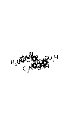 CN1CCN(CC(=O)N(C)c2ccc(NC(=C3C(=O)Nc4ccc(C(=O)O)cc43)c3ccc([N+](=O)[O-])cc3)cc2)CC1